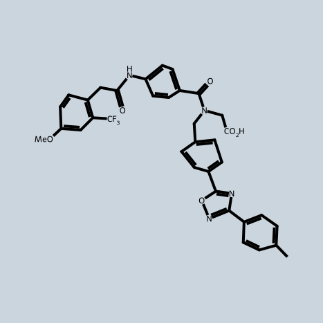 COc1ccc(CC(=O)Nc2ccc(C(=O)N(CC(=O)O)Cc3ccc(-c4nc(-c5ccc(C)cc5)no4)cc3)cc2)c(C(F)(F)F)c1